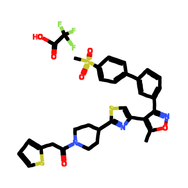 Cc1onc(-c2cccc(-c3ccc(S(C)(=O)=O)cc3)c2)c1-c1csc(C2CCN(C(=O)Cc3cccs3)CC2)n1.O=C(O)C(F)(F)F